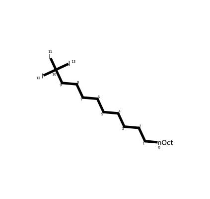 CCCCCCCCCCCCCCCCCC(I)(I)I